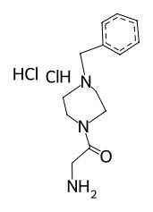 Cl.Cl.NCC(=O)N1CCN(Cc2ccccc2)CC1